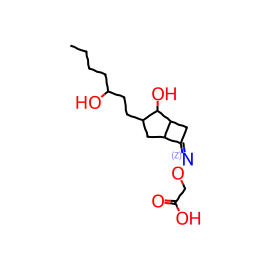 CCCCC(O)CCC1CC2/C(=N\OCC(=O)O)CC2C1O